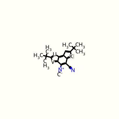 [C-]#[N+]c1c(C#N)[c]2c([c]3[c]1=[V][C](C(C)(C)C)=[U]3)C=[C](C(C)(C)C)[K]=2